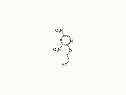 O=[N+]([O-])c1cnc(OCCO)c([N+](=O)[O-])c1